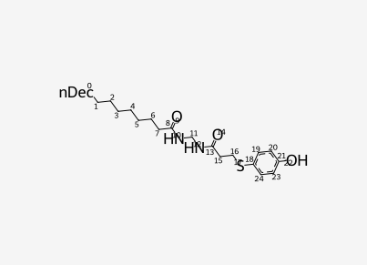 CCCCCCCCCCCCCCCCCC(=O)NCNC(=O)CCSc1ccc(O)cc1